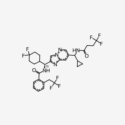 O=C(CCC(F)(F)F)NC(c1cnn2cc([C@@H](NC(=O)c3ccccc3CC(F)(F)F)C3CCC(F)(F)CC3)nc2c1)C1CC1